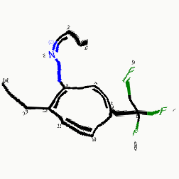 C/C=N\c1cc(C(F)(F)F)ccc1CC